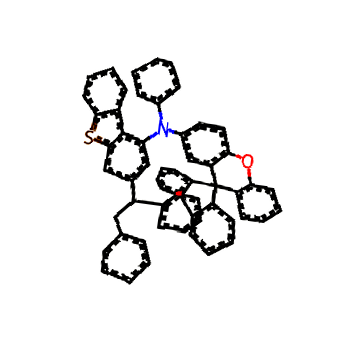 c1ccc(CC(c2ccccc2)c2cc(N(c3ccccc3)c3ccc4c(c3)C3(c5ccccc5O4)c4ccccc4-c4ccccc43)c3c(c2)sc2ccccc23)cc1